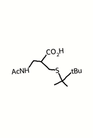 CC(=O)NCC(CSC(C)(C)C(C)(C)C)C(=O)O